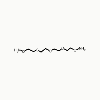 NOCCOCCOCCSCCON